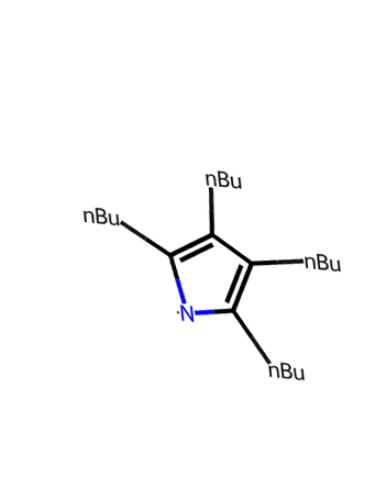 CCCCC1=C(CCCC)C(CCCC)=C(CCCC)[N]1